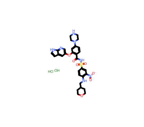 Cl.Cl.O=C(NS(=O)(=O)c1ccc(NCC2CCOCC2)c([N+](=O)[O-])c1)c1ccc(N2CCNCC2)cc1Oc1cnc2[nH]ccc2c1